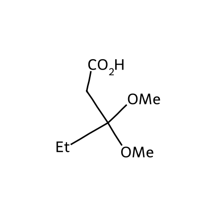 CCC(CC(=O)O)(OC)OC